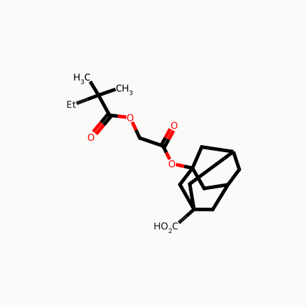 CCC(C)(C)C(=O)OCC(=O)OC12CC3CC(C1)CC(C(=O)O)(C3)C2